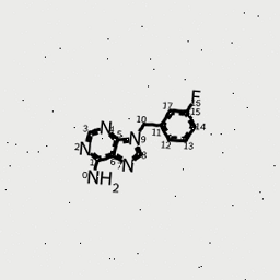 Nc1ncnc2c1ncn2Cc1cccc(F)c1